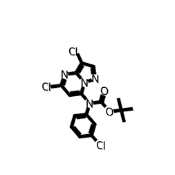 CC(C)(C)OC(=O)N(c1cccc(Cl)c1)c1cc(Cl)nc2c(Cl)cnn12